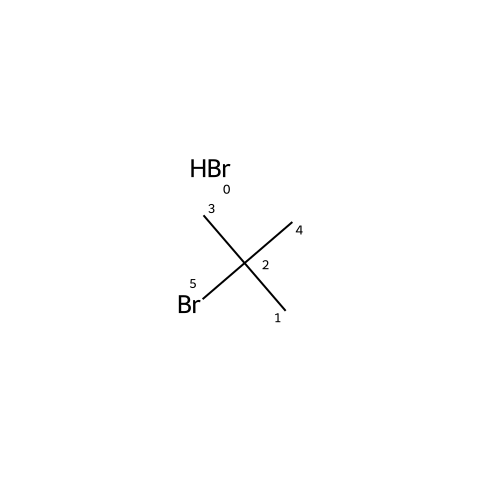 Br.CC(C)(C)Br